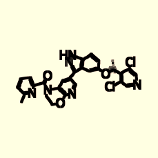 Cc1cccc(C(=O)N2CCOc3ncc(-c4n[nH]c5ccc(O[C@H](C)c6c(Cl)cncc6Cl)cc45)cc32)n1